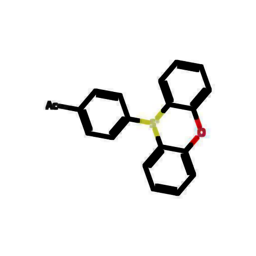 CC(=O)c1ccc([S+]2c3ccccc3Oc3ccccc32)cc1